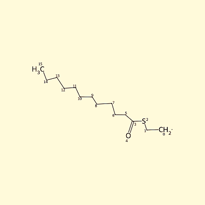 [CH2]CSC(=O)CCCCCCCCCCC